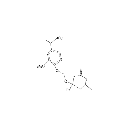 C=C1CC(C)CC(CC)(OCOc2ccc(C(C)C(C)(C)C)cc2OC)C1